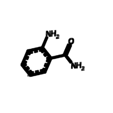 NC(=O)c1c[c]ccc1N